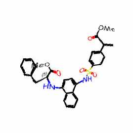 COC(=O)C(C)c1ccc(S(=O)(=O)Nc2ccc(N[C@@H](Cc3ccccc3)C(=O)OC)c3ccccc23)cc1